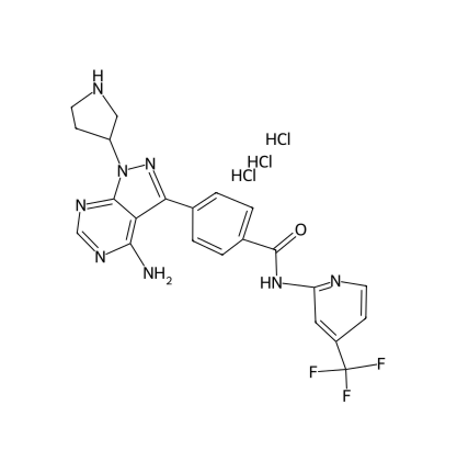 Cl.Cl.Cl.Nc1ncnc2c1c(-c1ccc(C(=O)Nc3cc(C(F)(F)F)ccn3)cc1)nn2C1CCNC1